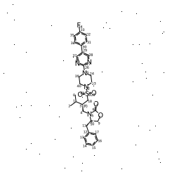 CC(C)[C@H](CN1C(=O)OC[C@H]1Cc1ccccc1)CS(=O)(=O)N1CCN(c2ncc(-c3ccc(F)cc3)cn2)CC1